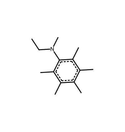 CCN(C)c1c(C)c(C)c(C)c(C)c1C